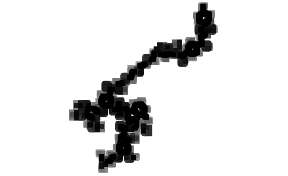 COc1cc2[nH]c(C(=O)N3C[C@@H](CCl)c4c3cc(OS(=O)(=O)Oc3cc(C(=O)NCCOCCOCCOCCn5cc(CNC(=O)c6ccc(C(=O)CCS(=O)(=O)c7ccc(C)cc7)cc6)nn5)ccc3O[C@H]3C[C@@H](O)[C@@H](O)[C@@H](CO)O3)c3cccc(C)c43)cc2cc1OCCN(C)C